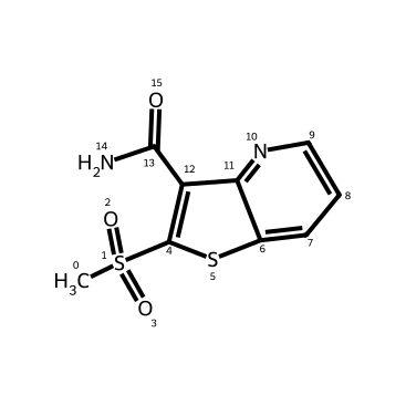 CS(=O)(=O)c1sc2cccnc2c1C(N)=O